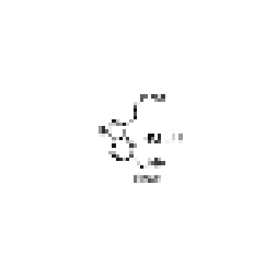 CNCCc1c[nH]c2ccc(C(=N)NC)cc12.Cl.Cl